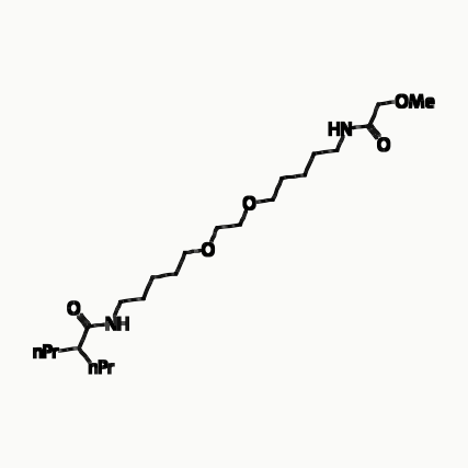 CCCC(CCC)C(=O)NCCCCCOCCOCCCCCNC(=O)COC